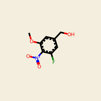 COc1cc(CO)cc(F)c1[N+](=O)[O-]